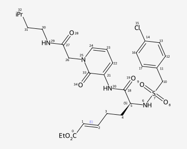 CCOC(=O)/C=C/CC[C@H](NS(=O)(=O)Cc1ccc(Cl)cc1)C(=O)Nc1cccn(CC(=O)NCCC(C)C)c1=O